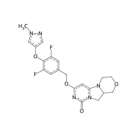 Cn1cc(Oc2c(F)cc(COc3cc4n(c(=O)n3)CC3COCCN43)cc2F)cn1